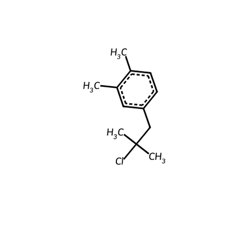 Cc1ccc(CC(C)(C)Cl)cc1C